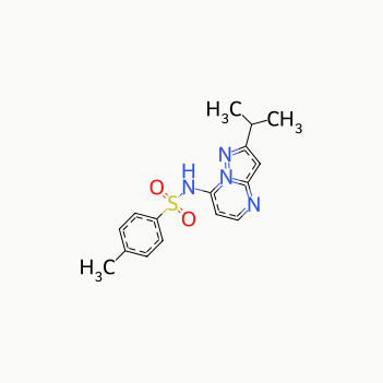 Cc1ccc(S(=O)(=O)Nc2ccnc3cc(C(C)C)nn23)cc1